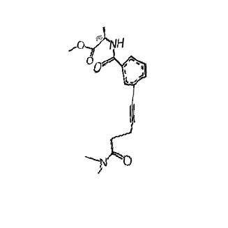 COC(=O)[C@@H](C)NC(=O)c1cccc(C#CCCC(=O)N(C)C)c1